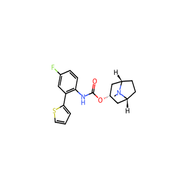 CN1[C@@H]2CC[C@H]1C[C@@H](OC(=O)Nc1ccc(F)cc1-c1cccs1)C2